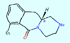 CCc1cccc2c1C(=O)N1CCNC[C@H]1C2